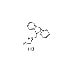 CC(C)CNCC12CC(c3ccccc31)c1ccccc12.Cl